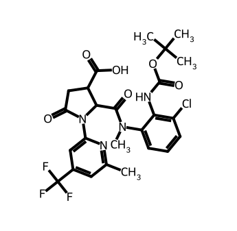 Cc1cc(C(F)(F)F)cc(N2C(=O)CC(C(=O)O)C2C(=O)N(C)c2cccc(Cl)c2NC(=O)OC(C)(C)C)n1